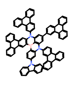 c1ccc2c(c1)c1ccccc1c1cc(-c3cc4c5c(c3)N(c3ccc6c7ccccc7c7ccccc7c6c3)c3cc6c7ccccc7c7ccccc7c6cc3B5c3ccc(-n5c6ccccc6c6ccccc65)cc3N4c3ccc4c5ccccc5c5ccccc5c4c3)ccc21